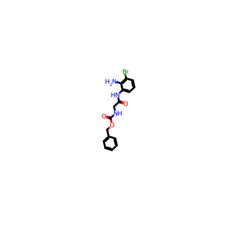 Nc1c(Br)cccc1NC(=O)CNC(=O)OCc1ccccc1